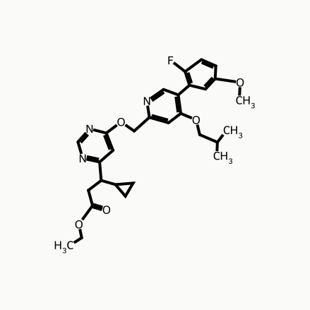 CCOC(=O)CC(c1cc(OCc2cc(OCC(C)C)c(-c3cc(OC)ccc3F)cn2)ncn1)C1CC1